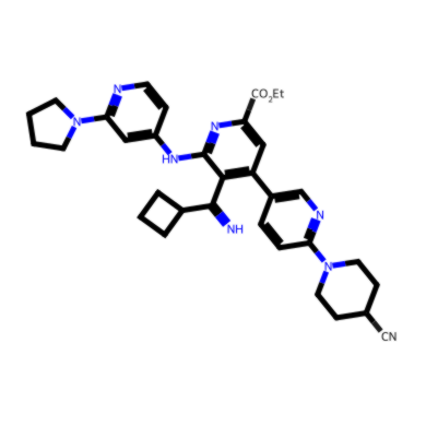 CCOC(=O)c1cc(-c2ccc(N3CCC(C#N)CC3)nc2)c(C(=N)C2CCC2)c(Nc2ccnc(N3CCCC3)c2)n1